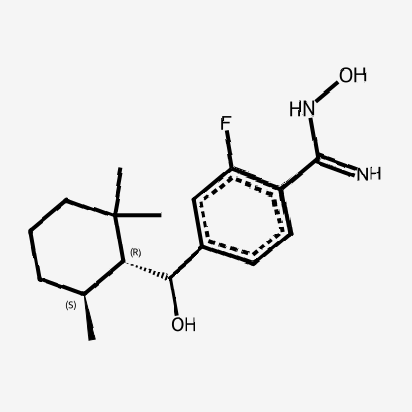 C[C@H]1CCCC(C)(C)[C@@H]1C(O)c1ccc(C(=N)NO)c(F)c1